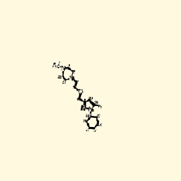 CC(=O)N1CCN(CCOCc2cc(C)n(C3CCCCC3)n2)CC1